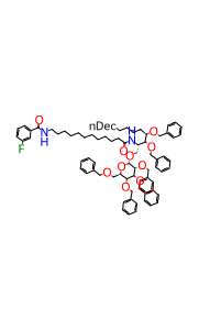 CCCCCCCCCCCCCC[C@@H](OCc1ccccc1)[C@@H](OCc1ccccc1)[C@H](CO[C@H]1O[C@H](COCc2ccccc2)[C@H](OCc2ccccc2)[C@H](OCc2ccccc2)[C@H]1OCc1ccccc1)NC(=O)CCCCCCCCCCCNC(=O)c1cccc(F)c1